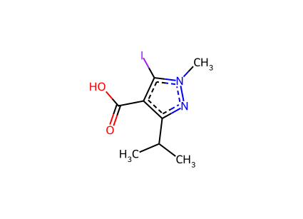 CC(C)c1nn(C)c(I)c1C(=O)O